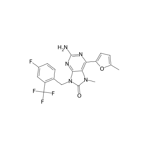 Cc1ccc(-c2nc(N)nc3c2n(C)c(=O)n3Cc2ccc(F)cc2C(F)(F)F)o1